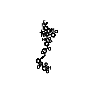 COc1cc(C(=O)N2CCO[C@H](CC#Cc3cccc4c3CN([C@H]3CCC(=O)NC3=O)C4=O)C2)ccc1NC(=O)[C@@H]1N[C@@H](CC(C)(C)C)[C@@]2(CNc3cc(C(F)(F)F)ncc32)[C@H]1c1cccc(Cl)c1F